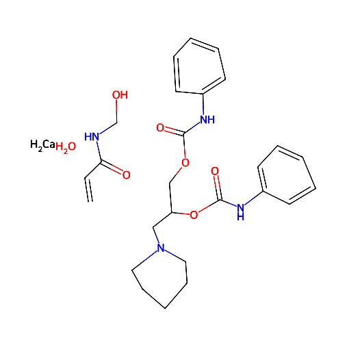 C=CC(=O)NCO.O.O=C(Nc1ccccc1)OCC(CN1CCCCC1)OC(=O)Nc1ccccc1.[CaH2]